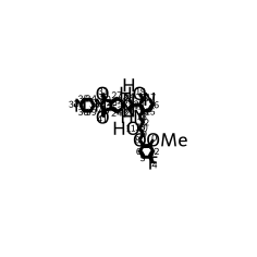 COc1cc(F)ccc1OC[C@@H](O)CNc1ccnc(O)c1-c1nc2cc3c(cc2[nH]1)C(=O)N(C1CCN(C)CC1)C3=O